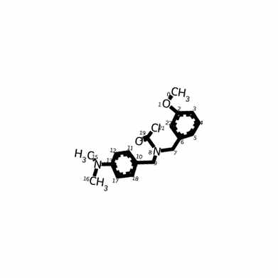 COc1cccc(CN(Cc2ccc(N(C)C)cc2)C(=O)Cl)c1